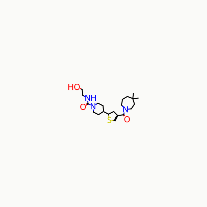 CC1(C)CCCN(C(=O)C2=CSC(C3CCN(C(=O)NCCO)CC3)C2)CC1